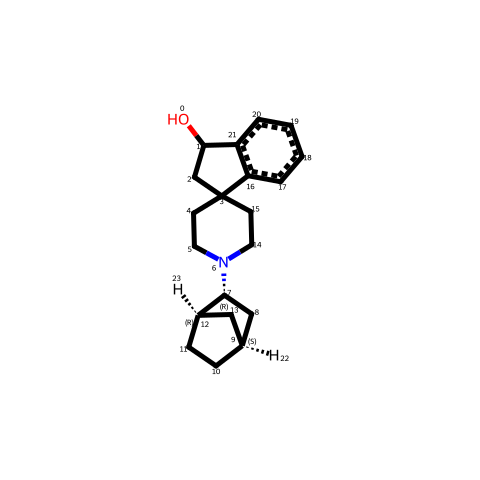 OC1CC2(CCN([C@@H]3C[C@H]4CC[C@@H]3C4)CC2)c2ccccc21